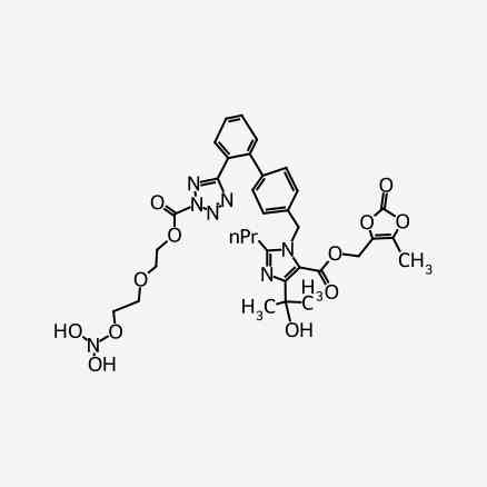 CCCc1nc(C(C)(C)O)c(C(=O)OCc2oc(=O)oc2C)n1Cc1ccc(-c2ccccc2-c2nnn(C(=O)OCCOCCON(O)O)n2)cc1